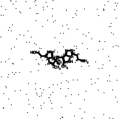 CC1=Nn2c(CCO)nnc2C1(N)Nc1c(C)[nH]n2c(CCN)nnc12